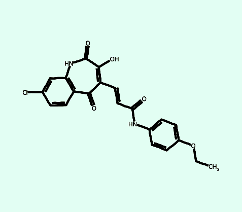 CCOc1ccc(NC(=O)C=Cc2c(O)c(=O)[nH]c3cc(Cl)ccc3c2=O)cc1